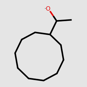 CC([O])C1CCCCCCCCC1